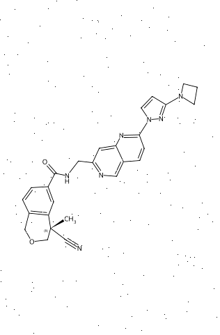 C[C@@]1(C#N)COCc2ccc(C(=O)NCc3cc4nc(-n5ccc(N6CCC6)n5)ccc4cn3)cc21